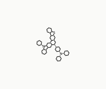 c1ccc(N(c2ccccc2)c2ccc(-c3cc4cc5sc6ccccc6c5cc4c4cc5c(cc34)c3ccccc3n5-c3ccccc3)cc2)cc1